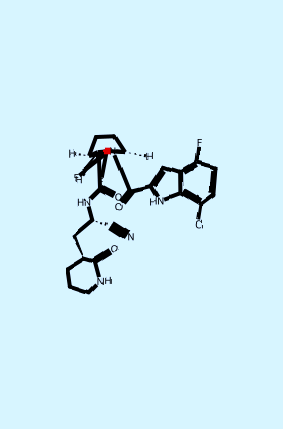 N#C[C@H](C[C@@H]1CCCNC1=O)NC(=O)[C@@H]1[C@H]2CC[C@H](CC2(F)F)N1C(=O)c1cc2c(F)ccc(Cl)c2[nH]1